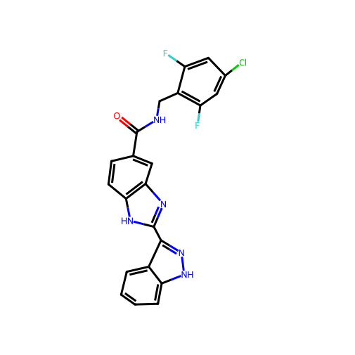 O=C(NCc1c(F)cc(Cl)cc1F)c1ccc2[nH]c(-c3n[nH]c4ccccc34)nc2c1